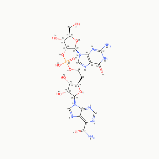 NC(=O)c1ncnc2c1ncn2[C@@H]1O[C@H](CCOP(=O)(O)O[C@@H]2[C@H](O)[C@@H](CO)O[C@H]2n2cnc3c(=O)[nH]c(N)nc32)[C@@H](O)[C@H]1O